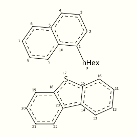 CCCCCCc1cccc2ccccc12.c1ccc2c(c1)sc1ccccc12